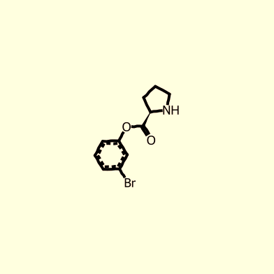 O=C(Oc1cccc(Br)c1)[C@H]1CCCN1